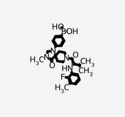 Cc1cccc(N[C@@H](C(=O)N2CCC3(CC2)C(=O)N(C)CN3c2ccc(B(O)O)cc2)C(C)C)c1F